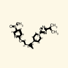 CC(C)c1noc(N2CCC([C@H]3C[C@H]3CCOc3ccc([S+](C)[O-])cn3)CC2)n1